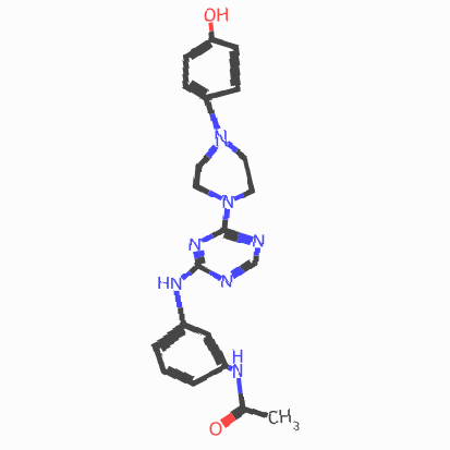 CC(=O)Nc1cccc(Nc2ncnc(N3CCN(c4ccc(O)cc4)CC3)n2)c1